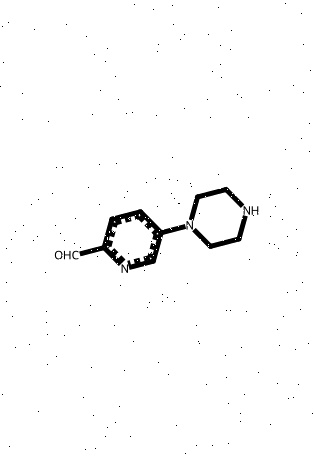 O=Cc1ccc(N2CCNCC2)cn1